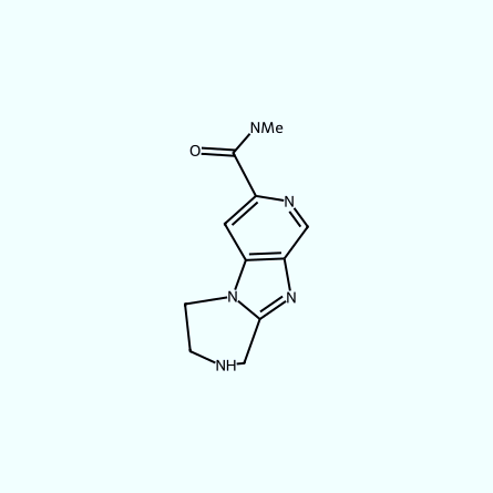 CNC(=O)c1cc2c(cn1)nc1n2CCNC1